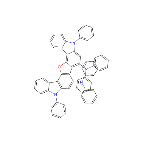 c1ccc(N(c2ccccc2)c2cc3c(c4ccccc4n3-c3ccccc3)c3oc4c(c(N(c5ccccc5)c5ccccc5)cc5c4c4ccccc4n5-c4ccccc4)c23)cc1